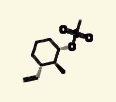 C=C[C@@H]1CCC[C@H](OS(C)(=O)=O)[C@H]1C